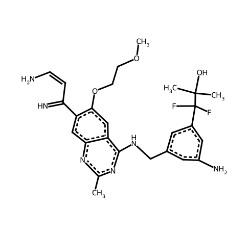 COCCOc1cc2c(NCc3cc(N)cc(C(F)(F)C(C)(C)O)c3)nc(C)nc2cc1C(=N)/C=C\N